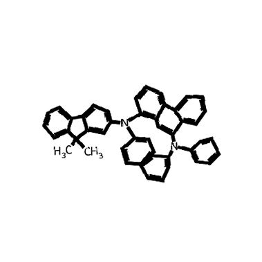 CC1(C)c2ccccc2-c2ccc(N(c3ccccc3)c3cccc4c3cc(N(c3ccccc3)c3ccccc3)c3ccccc34)cc21